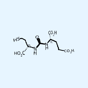 O=C(O)CC[C@H](NC(=O)N[C@@H](CS)C(=O)O)C(=O)O